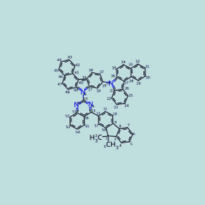 CC1(C)c2ccccc2-c2ccc(-c3nc(-n4c5cc(-n6c7ccccc7c7c8ccccc8ccc76)ccc5c5c6ccccc6ccc54)nc4ccccc34)cc21